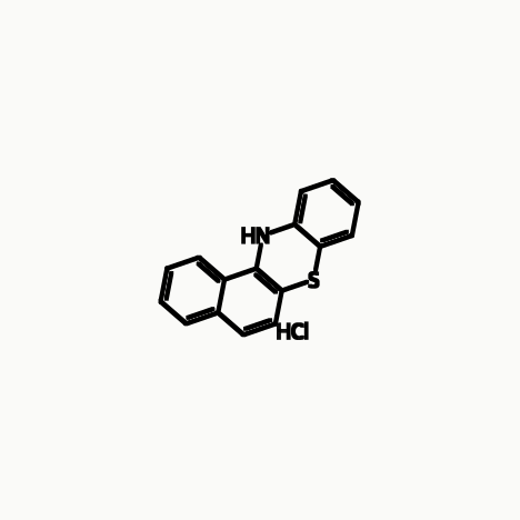 Cl.c1ccc2c(c1)Nc1c(ccc3ccccc13)S2